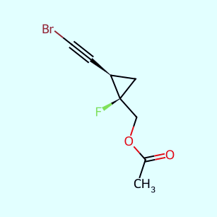 CC(=O)OC[C@@]1(F)C[C@@H]1C#CBr